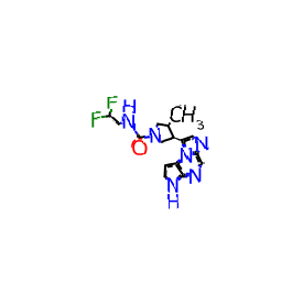 C[C@@H]1CN(C(=O)NCC(F)F)C[C@@H]1c1cnc2cnc3[nH]ccc3n12